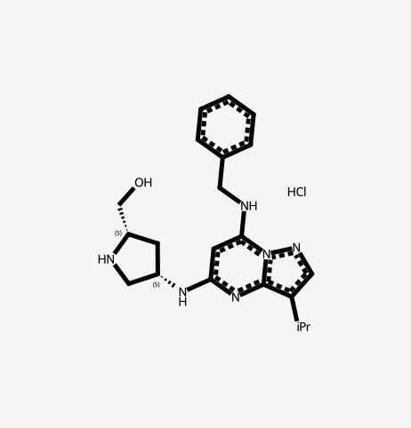 CC(C)c1cnn2c(NCc3ccccc3)cc(N[C@@H]3CN[C@H](CO)C3)nc12.Cl